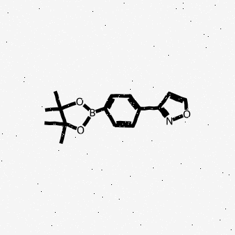 CC1(C)OB(c2ccc(-c3ccon3)cc2)OC1(C)C